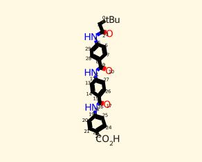 CC(C)(C)CC(=O)Nc1ccc(C(=O)Nc2ccc(C(=O)Nc3ccc(C(=O)O)cc3)cc2)cc1